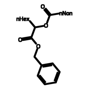 CCCCCCCCCC(=O)OC(CCCCCC)C(=O)OCc1ccccc1